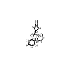 O=C(C1CNC1)N1OCC[C@H]1c1ccccc1